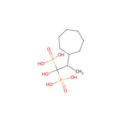 CC(C1CCCCCC1)C(O)(P(=O)(O)O)P(=O)(O)O